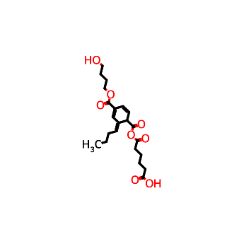 CCCC=C1C=C(C(=O)OCCCCO)C=CC1C(=O)OC(=O)CCCCC(=O)O